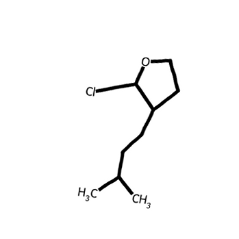 CC(C)CCC1CCOC1Cl